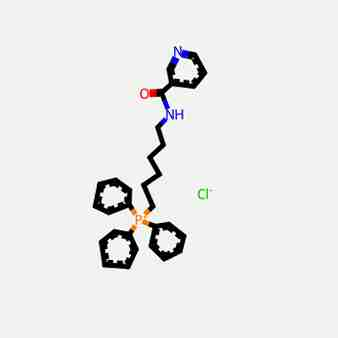 O=C(NCCCCCC[P+](c1ccccc1)(c1ccccc1)c1ccccc1)c1cccnc1.[Cl-]